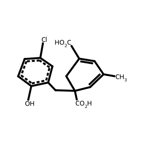 CC1=CC(Cc2cc(Cl)ccc2O)(C(=O)O)CC(C(=O)O)=C1